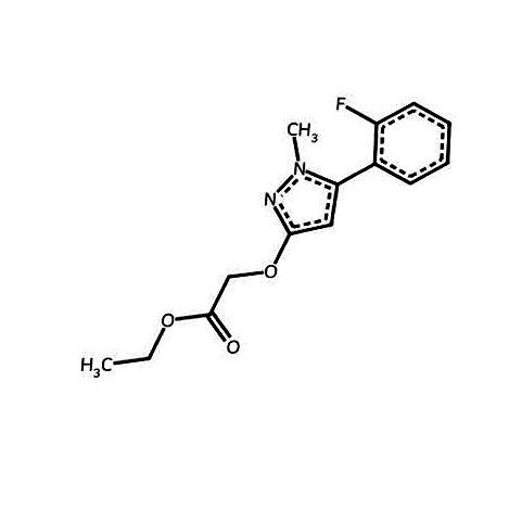 CCOC(=O)COc1cc(-c2ccccc2F)n(C)n1